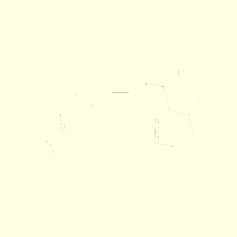 C=C([SiH2]COc1ccc([N+](=O)[O-])cc1)c1ccccc1C